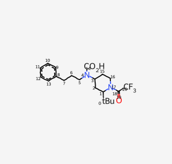 CC(C)(C)C1CC(N(CCCc2ccccc2)C(=O)O)CCN1C(=O)C(F)(F)F